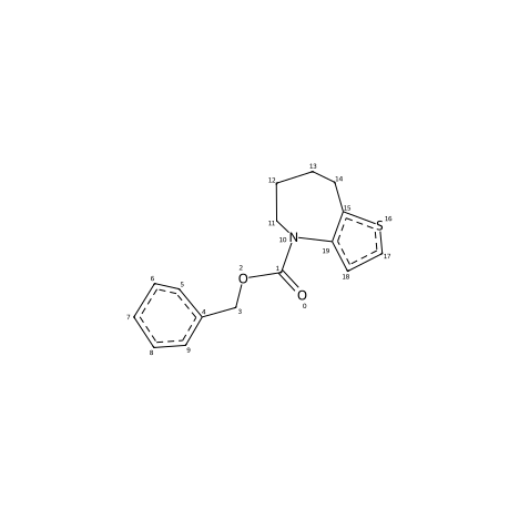 O=C(OCc1ccccc1)N1CCCCc2sccc21